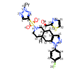 CC(C)n1ncc(S(=O)(=O)N2CC[C@H]3Cc4c(cnn4-c4ccc(F)cc4)C[C@]3(C(=O)c3nccs3)C2)n1